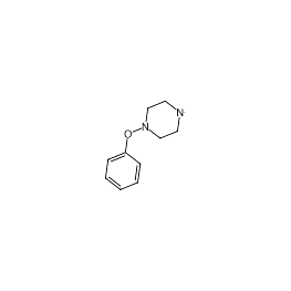 c1ccc(ON2CC[N]CC2)cc1